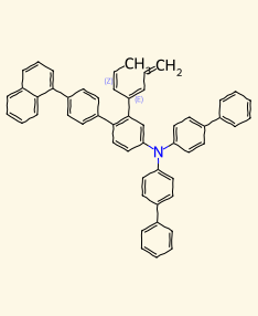 C=C/C=C(\C=C/C)c1cc(N(c2ccc(-c3ccccc3)cc2)c2ccc(-c3ccccc3)cc2)ccc1-c1ccc(-c2cccc3ccccc23)cc1